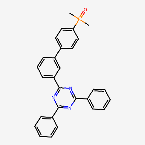 CP(C)(=O)c1ccc(-c2cccc(-c3nc(-c4ccccc4)nc(-c4ccccc4)n3)c2)cc1